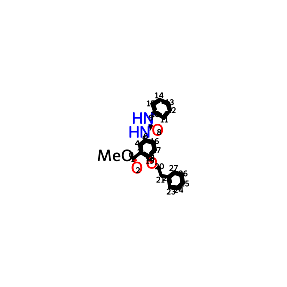 COC(=O)c1cc(NC(=O)Nc2ccccc2)ccc1OCCc1ccccc1